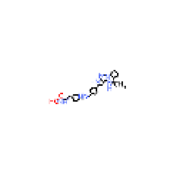 C[C@@H](Nc1ncnc2[nH]c(-c3ccc(CNCc4ccc(/C=C/C(=O)NO)cc4)cc3)cc12)c1ccccc1